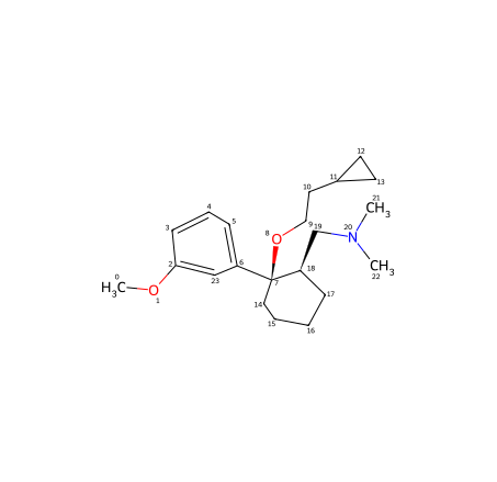 COc1cccc([C@@]2(OCCC3CC3)CCCC[C@@H]2CN(C)C)c1